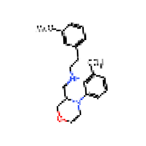 COc1cccc(CCNCC2COCCN2c2cccc(C(=O)O)c2)c1